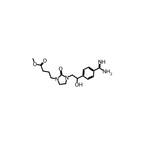 COC(=O)CCCN1CCN(CC(O)c2ccc(C(=N)N)cc2)C1=O